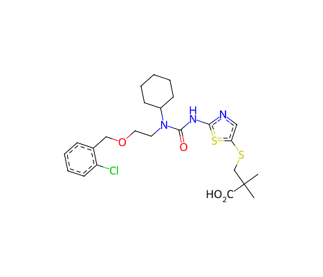 CC(C)(CSc1cnc(NC(=O)N(CCOCc2ccccc2Cl)C2CCCCC2)s1)C(=O)O